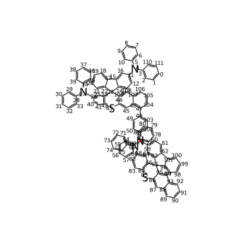 c1ccc(N(c2ccccc2)c2ccc3c(c2)-c2ccccc2C32c3cc(N(c4ccccc4)c4ccccc4)ccc3Sc3cc4c(-c5ccc(N(c6ccccc6)c6ccc7c(c6)C6(c8cc(N(c9ccccc9)c9ccccc9)ccc8Sc8cc9ccccc9cc86)c6ccccc6-7)cc5)cccc4cc32)cc1